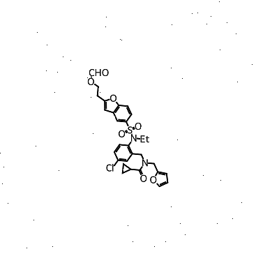 CCN(c1ccc(Cl)cc1CN(Cc1ccco1)C(=O)C1CC1)S(=O)(=O)c1ccc2oc(CCOC=O)cc2c1